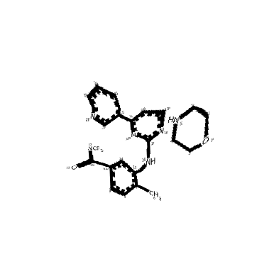 C1COCCN1.Cc1ccc(C(=O)NC(F)(F)F)cc1Nc1nccc(-c2cccnc2)n1